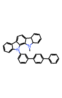 CN1c2c(ccc3c4ccccc4n(-c4cccc(-c5ccc(-c6ccccc6)cc5)c4)c23)C2C=CC=CC21